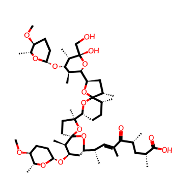 CO[C@H]1CC[C@H](O[C@H]2[C@H](C)[C@@H]([C@H]3C[C@H](C)C4(O3)O[C@@H]([C@]3(C)CC[C@@]5(O[C@H]([C@@H](C)/C=C(\C)C(=O)[C@H](C)C[C@@H](C)C(=O)O)C[C@@H](O[C@H]6CC[C@H](OC)[C@@H](C)O6)[C@H]5C)O3)CC[C@H]4C)O[C@@](O)(CO)[C@H]2C)O[C@@H]1C